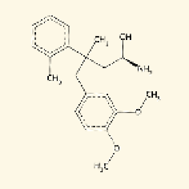 COc1ccc(CC(C)(C[C@H](N)O)c2ccccc2C)cc1OC